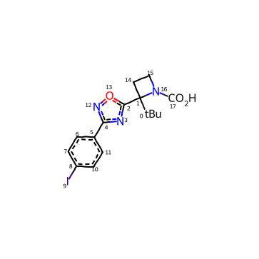 CC(C)(C)C1(c2nc(-c3ccc(I)cc3)no2)CCN1C(=O)O